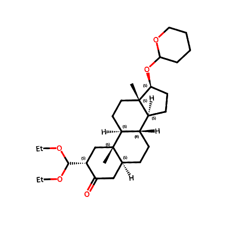 CCOC(OCC)[C@@H]1C[C@@]2(C)[C@@H](CC[C@@H]3[C@@H]2CC[C@]2(C)[C@@H](OC4CCCCO4)CC[C@@H]32)CC1=O